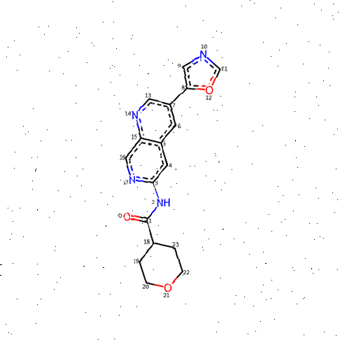 O=C(Nc1cc2cc(-c3cnco3)cnc2cn1)C1CCOCC1